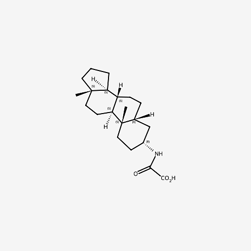 C[C@@]12CCC[C@H]1[C@@H]1CC[C@@H]3C[C@H](NC(=O)C(=O)O)CC[C@]3(C)[C@H]1CC2